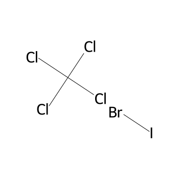 BrI.ClC(Cl)(Cl)Cl